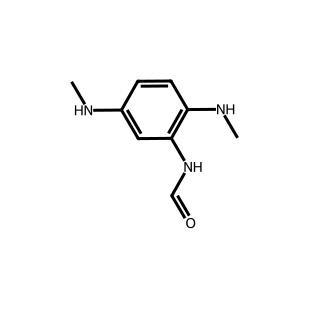 CNc1ccc(NC)c(NC=O)c1